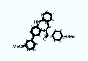 COc1cc(-c2ccc3c(c2)N(C(=O)[C@H]2CC[C@H](OC)CC2)Cc2cccnc2N3)ccn1